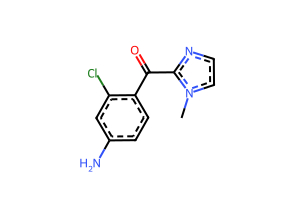 Cn1ccnc1C(=O)c1ccc(N)cc1Cl